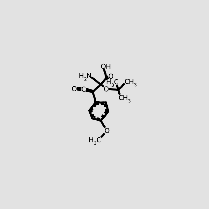 COc1ccc(C(=C=O)C(N)(OC(C)(C)C)C(=O)O)cc1